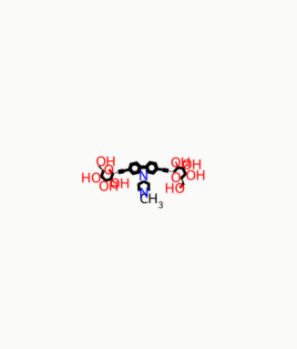 CN1CCC(n2c3cc(C#C[C@H]4O[C@H](CO)[C@@H](O)[C@H](O)[C@@H]4O)ccc3c3ccc(C#C[C@H]4O[C@H](CO)[C@@H](O)[C@H](O)[C@@H]4O)cc32)CC1